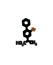 CC(C(=O)O)c1ccc(-c2ccccc2)c(Br)c1